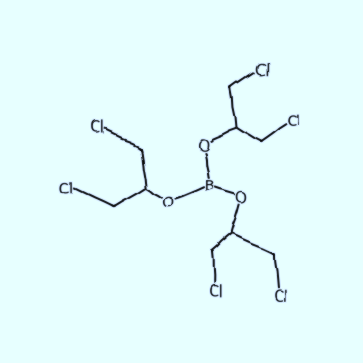 ClCC(CCl)OB(OC(CCl)CCl)OC(CCl)CCl